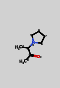 CC(=O)C(C)N1CCCC1